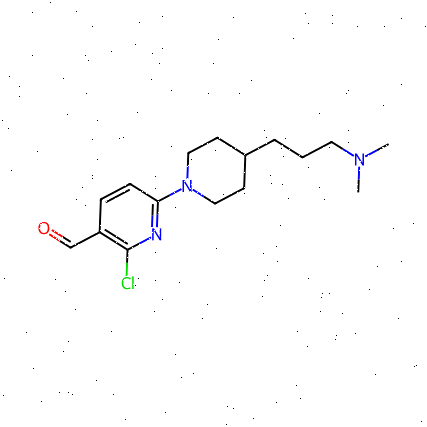 CN(C)CCCC1CCN(c2ccc(C=O)c(Cl)n2)CC1